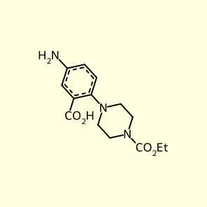 CCOC(=O)N1CCN(c2ccc(N)cc2C(=O)O)CC1